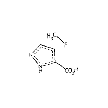 CF.O=C(O)c1ccn[nH]1